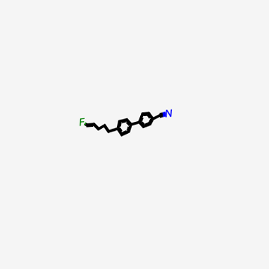 N#Cc1ccc(-c2ccc(CCC/C=C/F)cc2)cc1